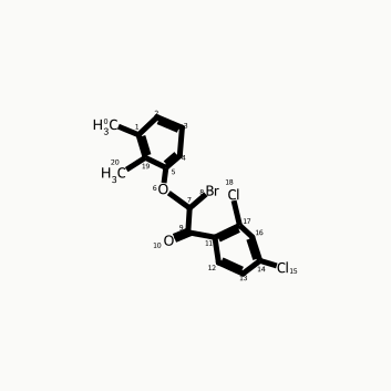 Cc1cccc(OC(Br)C(=O)c2ccc(Cl)cc2Cl)c1C